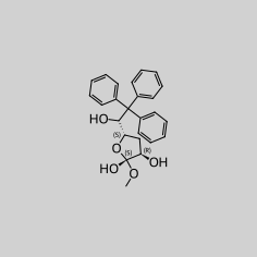 CO[C@]1(O)O[C@H](C(O)C(c2ccccc2)(c2ccccc2)c2ccccc2)C[C@H]1O